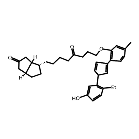 CCc1ccc(O)cc1C1C=CC(c2ccc(C)cc2OCCCC(=O)CCCC[C@@H]2CC[C@@H]3CC(=O)C[C@H]23)=C1